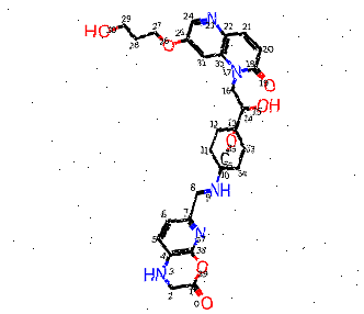 O=C1CNc2ccc(CNC34CCC(C(O)Cn5c(=O)ccc6ncc(OCCCO)cc65)(CC3)OC4)nc2O1